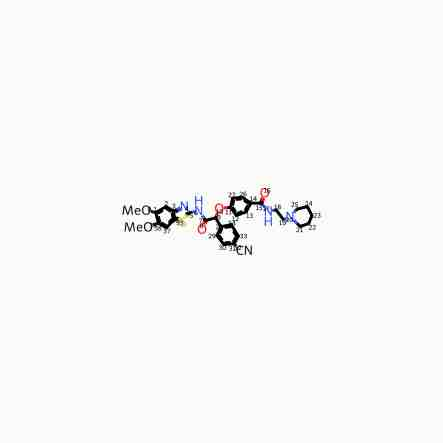 COc1cc2nc(NC(=O)C(Oc3ccc(C(=O)NCCN4CCCCC4)cc3)c3ccc(C#N)cc3)sc2cc1OC